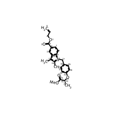 C=CCOC(=O)c1ccc2c(c1)c(C)c(C)n2Cc1ccc(O[C@@H](C)C(=O)OC)cc1